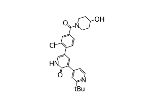 CC(C)(C)c1cc(-c2cc(-c3ccc(C(=O)N4CCC(O)CC4)cc3Cl)c[nH]c2=O)ccn1